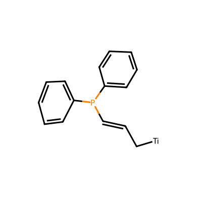 [Ti][CH2]C=CP(c1ccccc1)c1ccccc1